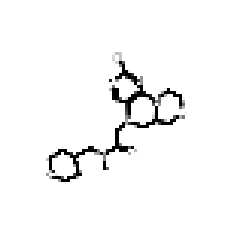 CN(CC1CCOCC1)C(=O)CN1CC2COCCN2c2nc(Cl)ncc21